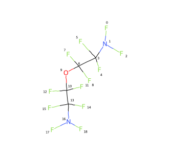 FN(F)C(F)(F)C(F)(F)OC(F)(F)C(F)(F)N(F)F